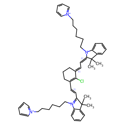 CC1(C)C(/C=C/C2=C(Cl)C(=C/C=C3/N(CCCCCC[n+]4ccccc4)c4ccccc4C3(C)C)/CCC2)=[N+](CCCCCC[n+]2ccccc2)c2ccccc21